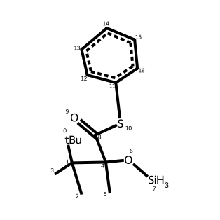 CC(C)(C)C(C)(C)C(C)(O[SiH3])C(=O)Sc1ccccc1